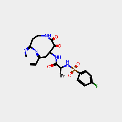 C=C/C1=N\C(=N/C)CCNC(=O)C(=O)C(NC(=O)C(NS(=O)(=O)c2ccc(F)cc2)C(C)C)C1